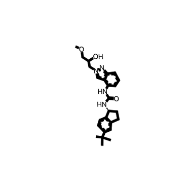 COCC(O)Cn1cc2c(NC(=O)N[C@@H]3CCc4cc(C(C)(C)C)ccc43)cccc2n1